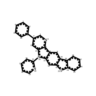 c1ccc(-c2cnc3c4cc5c(cc4n(-c4ccccn4)c3c2)sc2ccccc25)cc1